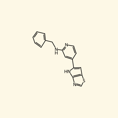 c1ccc(CNc2cc(-c3cc4scnc4[nH]3)ccn2)cc1